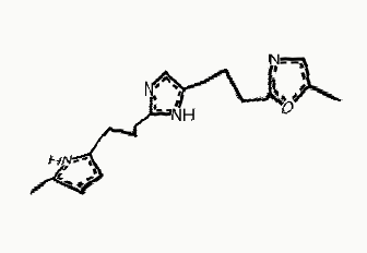 Cc1ccc(CCc2ncc(CCc3ncc(C)o3)[nH]2)[nH]1